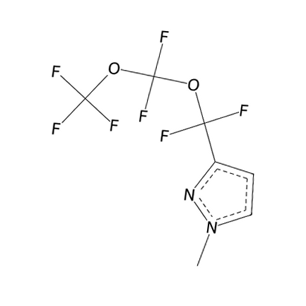 Cn1ccc(C(F)(F)OC(F)(F)OC(F)(F)F)n1